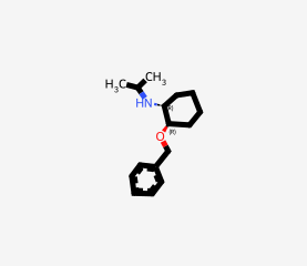 CC(C)N[C@@H]1CCCC[C@H]1OCc1ccccc1